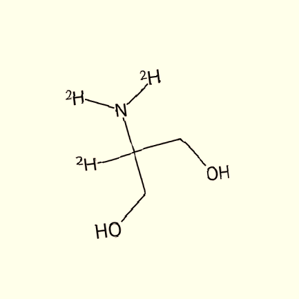 [2H]N([2H])C([2H])(CO)CO